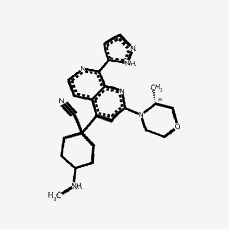 CNC1CCC(C#N)(c2cc(N3CCOC[C@H]3C)nc3c(-c4ccn[nH]4)nccc23)CC1